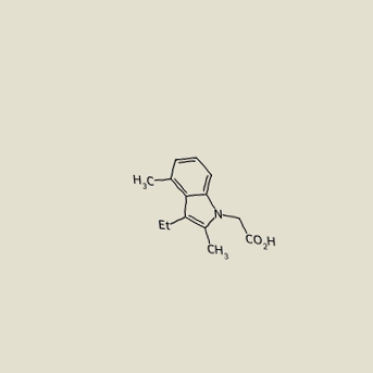 CCc1c(C)n(CC(=O)O)c2cccc(C)c12